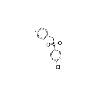 O=S(=O)(Cc1cc[c]cc1)c1ccc(Cl)cc1